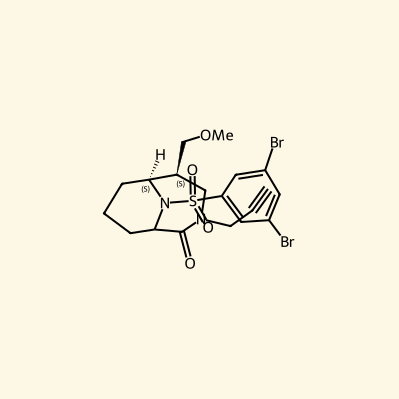 C#CCN1C[C@H](COC)[C@@H]2CCCC(C1=O)N2S(=O)(=O)c1cc(Br)cc(Br)c1